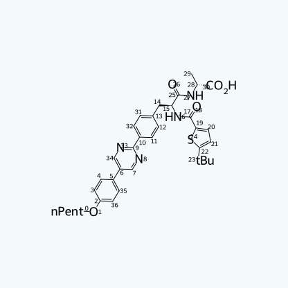 CCCCCOc1ccc(-c2cnc(-c3ccc(C[C@H](NC(=O)c4ccc(C(C)(C)C)s4)C(=O)N[C@H](C)C(=O)O)cc3)nc2)cc1